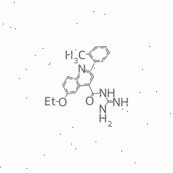 CCOc1ccc2nc(-c3ccccc3C)cc(C(=O)NC(=N)N)c2c1